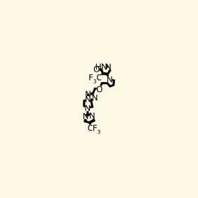 O=c1[nH]ncc(N2CCCC2COCc2nc3n(n2)CCN(c2ncc(C(F)(F)F)cn2)C3)c1C(F)(F)F